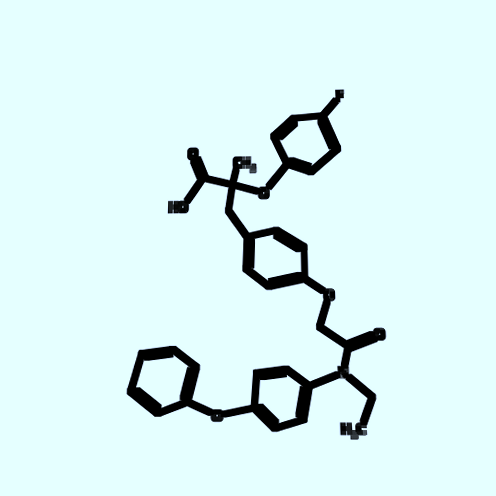 CCN(C(=O)COc1ccc(CC(C)(Oc2ccc(F)cc2)C(=O)O)cc1)c1ccc(Oc2ccccc2)cc1